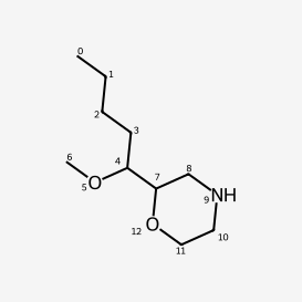 CCCCC(OC)C1CNCCO1